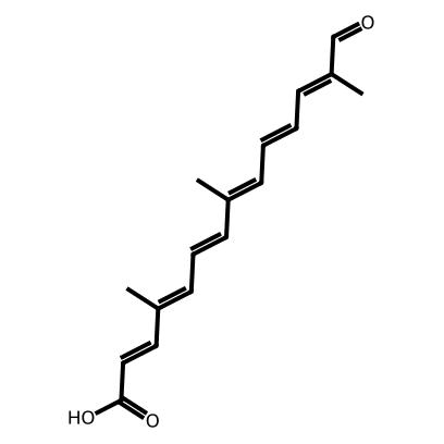 C\C(C=O)=C/C=C/C=C(C)/C=C/C=C(C)/C=C/C(=O)O